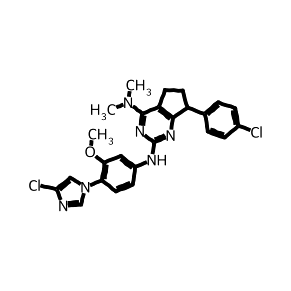 COc1cc(Nc2nc3c(c(N(C)C)n2)CCC3c2ccc(Cl)cc2)ccc1-n1cnc(Cl)c1